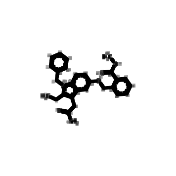 CCc1c(CC(N)=O)c2cc(OCc3ccccc3C(=O)OC)ccc2n1Cc1ccccc1